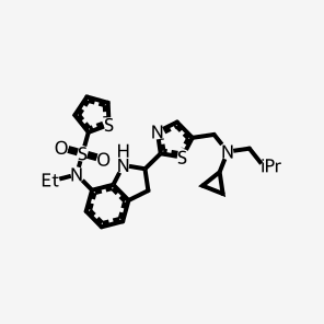 CCN(c1cccc2c1NC(c1ncc(CN(CC(C)C)C3CC3)s1)C2)S(=O)(=O)c1cccs1